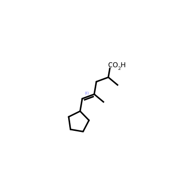 C/C(=C\C1CCCC1)CC(C)C(=O)O